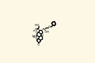 C[C@]12C=CC(=O)C=C1CC[C@@H]1C2[C@@H](O)C[C@@]2(C)C1C[C@@H](CN(O)CCOCc1ccccc1)[C@@H]2C(=O)CO